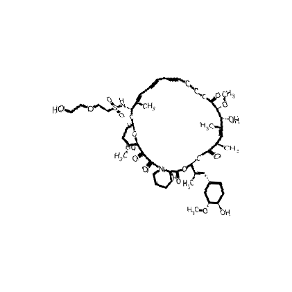 CO[C@@H]1C[C@H](C[C@@H](C)[C@@H]2CC(=O)[C@H](C)/C=C(\C)[C@@H](O)[C@@H](OC)C(=O)CCC/C=C/C=C/C=C(\C)[C@@H](NS(=O)(=O)CCOCCO)C[C@@H]3CC[C@@H](C)[C@@](O)(O3)C(=O)C(=O)N3CCCC[C@H]3C(=O)O2)CC[C@H]1O